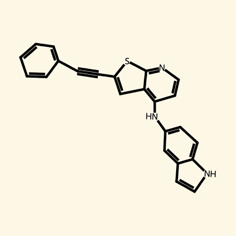 C(#Cc1cc2c(Nc3ccc4[nH]ccc4c3)ccnc2s1)c1ccccc1